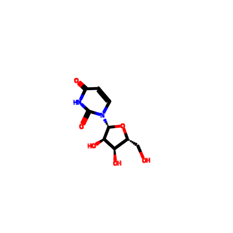 O=c1[c]cn([C@@H]2O[C@H](CO)[C@@H](O)[C@H]2O)c(=O)[nH]1